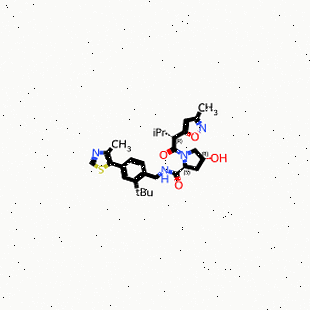 Cc1cc([C@H](C(=O)N2C[C@H](O)C[C@H]2C(=O)NCc2ccc(-c3scnc3C)cc2C(C)(C)C)C(C)C)on1